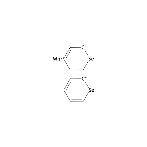 C1=C[CH-][Se]C=C1.C1=C[CH-][Se]C=C1.[Mn+2]